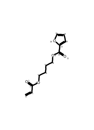 C=CC(=O)OCCCCOC(=O)c1ccco1